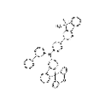 CC1(C)c2ccccc2-c2ccc(-c3ccc(N(c4cccc(-c5ccccc5)c4)c4ccc5c(c4)-c4ccccc4C54c5ccccc5Oc5ccccc54)cc3)cc21